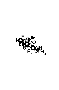 CCn1c(Nc2ccc(I)cc2F)c2c(=O)n(C3CC3)c(=O)n(-c3cccc(NS(C)(=O)=O)c3)c2c(C)c1=O